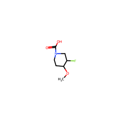 COC1CCN(C(=O)O)CC1F